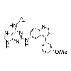 COc1cccc(-c2ccnc3ccc(Nc4nc(NC5CC5)c5nc[nH]c5n4)cc23)c1